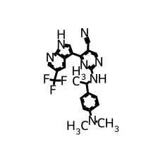 CC(Nc1ncc(C#N)c(-c2c[nH]c3ncc(C(F)(F)F)cc23)n1)c1ccc(N(C)C)cc1